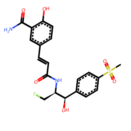 CS(=O)(=O)c1ccc([C@@H](O)[C@@H](CF)NC(=O)/C=C/c2ccc(O)c(C(N)=O)c2)cc1